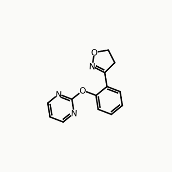 c1cnc(Oc2ccccc2C2=NOCC2)nc1